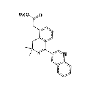 COC(=O)Cc1cccc2c1CC(C)(C)N=C2c1cnc2ccccc2c1